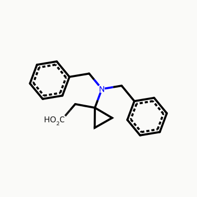 O=C(O)CC1(N(Cc2ccccc2)Cc2ccccc2)CC1